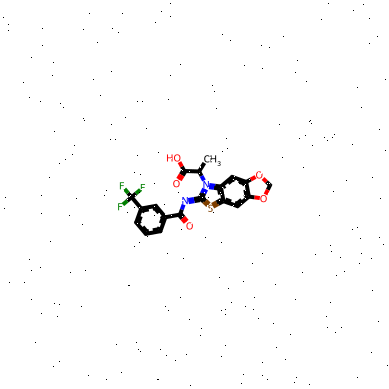 CC(C(=O)O)n1c(=NC(=O)c2cccc(C(F)(F)F)c2)sc2cc3c(cc21)OCO3